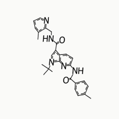 Cc1ccc(C(=O)Nc2ccc3c(C(=O)NCc4ncccc4C)cn(C(C)(C)C)c3n2)cc1